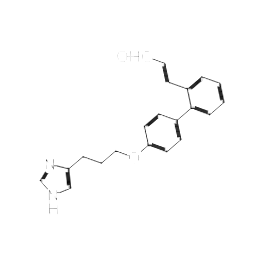 O=CC=Cc1ccccc1-c1ccc(OCCCc2c[nH]cn2)cc1